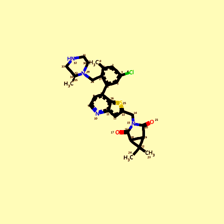 Cc1cc(Cl)cc(-c2ccnc3cc(CN4C(=O)C5C(C4=O)C5(C)C)sc23)c1CN1CCNC[C@@H]1C